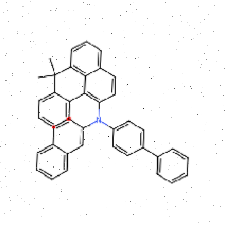 CC1(C)c2ccccc2-c2c(N(c3ccc(-c4ccccc4)cc3)c3ccc4ccccc4c3)ccc3cccc1c23